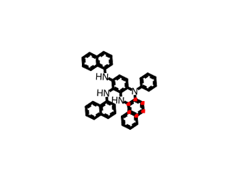 c1ccc(N(c2ccccc2)c2ccc(Nc3cccc4ccccc34)c(Nc3cccc4ccccc34)c2Nc2cccc3ccccc23)cc1